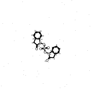 O=C1Cc2ccccc2N1OS(=O)(=O)ON1C(=O)Cc2ccccc21